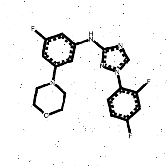 Fc1cc(Nc2ncn(-c3ccc(F)cc3F)n2)cc(N2CCOCC2)c1